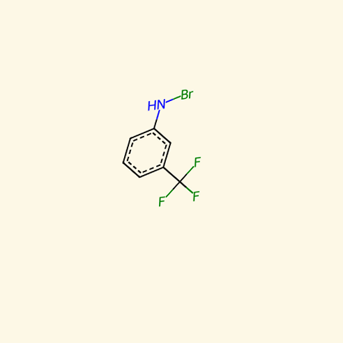 FC(F)(F)c1cccc(NBr)c1